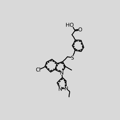 CCn1cc(-n2c(C)c(CSc3cccc(CC(=O)O)c3)c3ccc(Cl)cc32)cn1